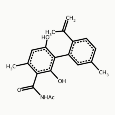 C=C(C)c1ccc(C)cc1-c1c(O)cc(C)c(C(=O)NC(C)=O)c1O